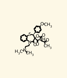 COc1ccc([C@@H]2Sc3ccccc3N(CCN(C)C)C(=O)[C@@]2(OC(=O)CC(C)=O)C(C)=O)cc1